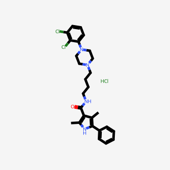 Cc1[nH]c(-c2ccccc2)c(C)c1C(=O)NCCCCN1CCN(c2cccc(Cl)c2Cl)CC1.Cl